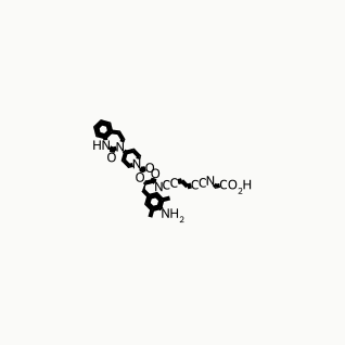 Cc1cc(C[C@@H](OC(=O)N2CCC(N3CCc4ccccc4NC3=O)CC2)C(=O)N=C=C=CC=C=C=NCC(=O)O)cc(C)c1N